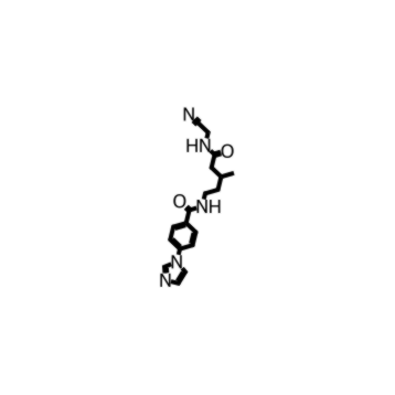 CC(CCNC(=O)c1ccc(-n2ccnc2)cc1)CC(=O)NCC#N